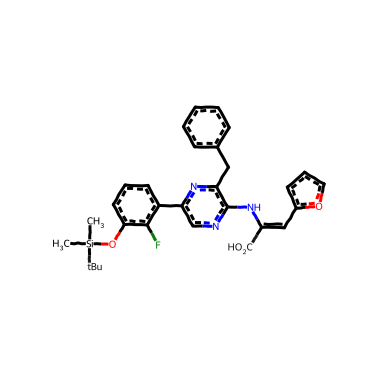 CC(C)(C)[Si](C)(C)Oc1cccc(-c2cnc(N/C(=C\c3ccco3)C(=O)O)c(Cc3ccccc3)n2)c1F